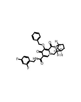 O=C(NCc1ccc(F)cc1F)c1cn2c(c(OCc3ccccc3)c1=O)C(=O)N1[C@@H]3CC[C@H](C3)[C@@H]1C2